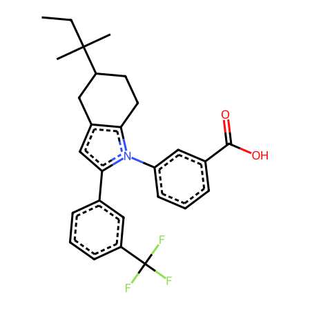 CCC(C)(C)C1CCc2c(cc(-c3cccc(C(F)(F)F)c3)n2-c2cccc(C(=O)O)c2)C1